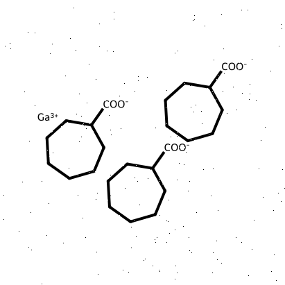 O=C([O-])C1CCCCCC1.O=C([O-])C1CCCCCC1.O=C([O-])C1CCCCCC1.[Ga+3]